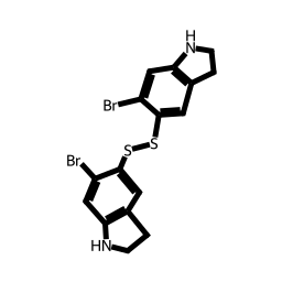 Brc1cc2c(cc1SSc1cc3c(cc1Br)NCC3)CCN2